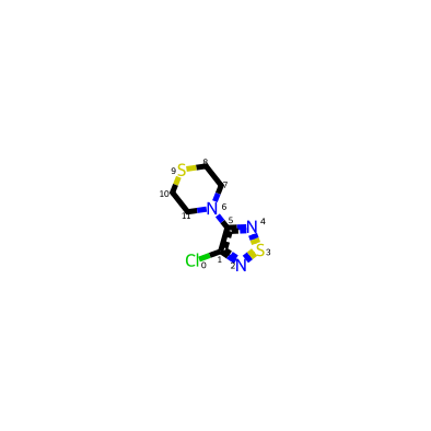 Clc1nsnc1N1CCSCC1